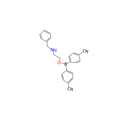 N#Cc1ccc(B(OCCNCc2ccccc2)c2ccc(C#N)cc2)cc1